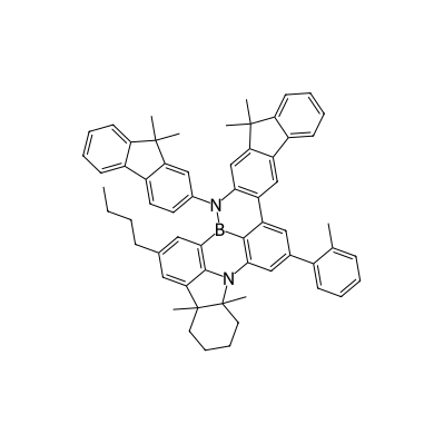 CCCCc1cc2c3c(c1)C1(C)CCCCC1(C)N3c1cc(-c3ccccc3C)cc3c1B2N(c1ccc2c(c1)C(C)(C)c1ccccc1-2)c1cc2c(cc1-3)-c1ccccc1C2(C)C